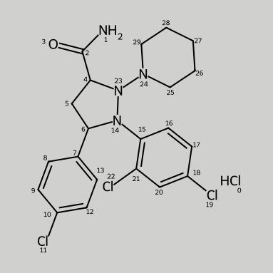 Cl.NC(=O)C1CC(c2ccc(Cl)cc2)N(c2ccc(Cl)cc2Cl)N1N1CCCCC1